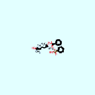 CC(C)(O)CCCC(C)(C)O.O=C(O)c1ccccc1.O=S(=O)(O)c1ccccc1